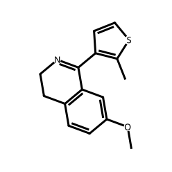 COc1ccc2c(c1)C(c1ccsc1C)=NCC2